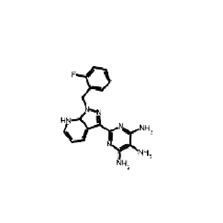 Nc1nc(C2=NN(Cc3ccccc3F)C3NC=CC=C23)nc(N)c1N